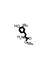 CC(C)(C)OC(=O)[C@@H](N)Cc1ccc(O)c(C(C)(C)C)c1